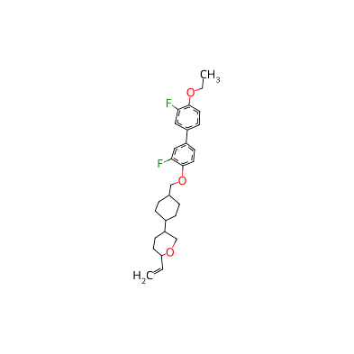 C=CC1CCC(C2CCC(COc3ccc(-c4ccc(OCC)c(F)c4)cc3F)CC2)CO1